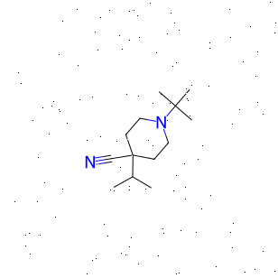 CC(C)C1(C#N)CCN(C(C)(C)C)CC1